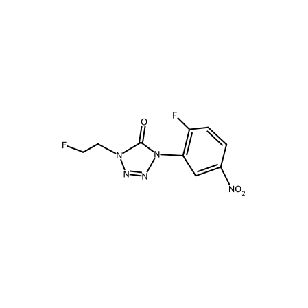 O=c1n(CCF)nnn1-c1cc([N+](=O)[O-])ccc1F